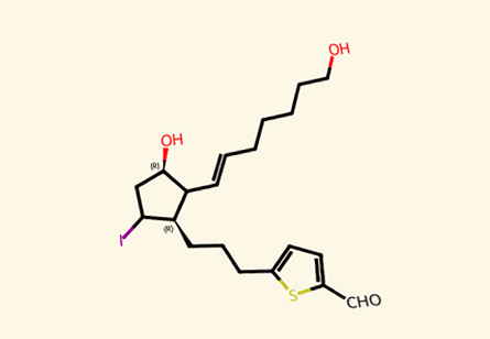 O=Cc1ccc(CCC[C@H]2C(I)C[C@@H](O)C2C=CCCCCCO)s1